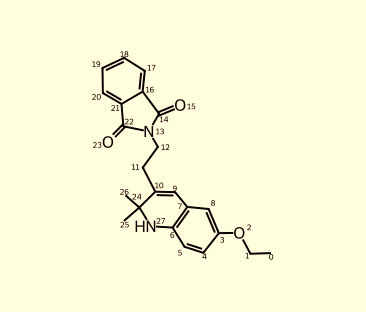 CCOc1ccc2c(c1)C=C(CCN1C(=O)c3ccccc3C1=O)C(C)(C)N2